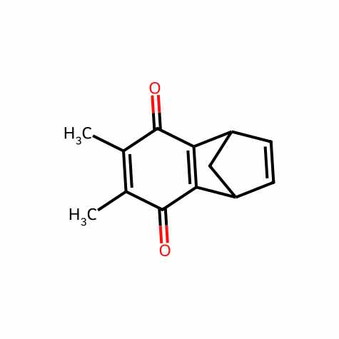 CC1=C(C)C(=O)C2=C(C1=O)C1C=CC2C1